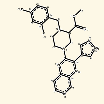 COC(=O)C1CN(c2nc3ccncc3nc2-c2cn[nH]c2)CCN1Cc1ccc(F)cc1F